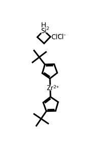 C1C[SiH2]C1.CC(C)(C)C1=CC[C]([Zr+2][C]2=CC(C(C)(C)C)=CC2)=C1.[Cl-].[Cl-]